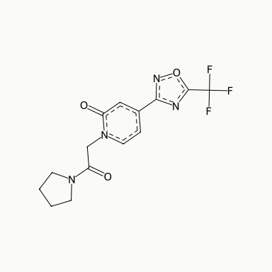 O=C(Cn1ccc(-c2noc(C(F)(F)F)n2)cc1=O)N1CCCC1